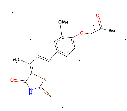 COC(=O)COc1ccc(C=CC(C)=C2SC(=S)NC2=O)cc1OC